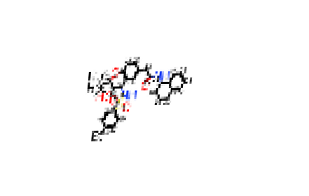 CCc1ccc(S(=O)(=O)NC2c3cc(CC(=O)N[C@@H]4CCCc5ccccc54)ccc3OC(C)(C)[C@@H]2O)cc1